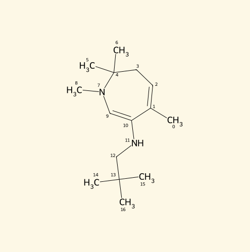 CC1=CCC(C)(C)N(C)C=C1NCC(C)(C)C